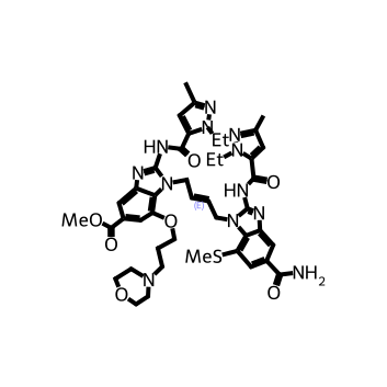 CCn1nc(C)cc1C(=O)Nc1nc2cc(C(=O)OC)cc(OCCCN3CCOCC3)c2n1C/C=C/Cn1c(NC(=O)c2cc(C)nn2CC)nc2cc(C(N)=O)cc(SC)c21